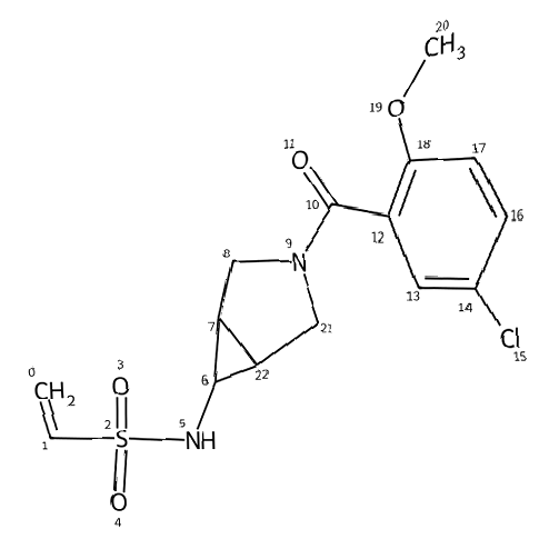 C=CS(=O)(=O)NC1C2CN(C(=O)c3cc(Cl)ccc3OC)CC21